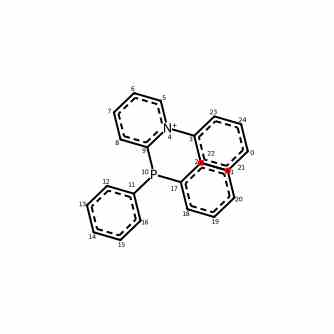 c1ccc(-[n+]2ccccc2P(c2ccccc2)c2ccccc2)cc1